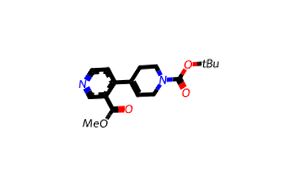 COC(=O)c1cnccc1C1=CCN(C(=O)OC(C)(C)C)CC1